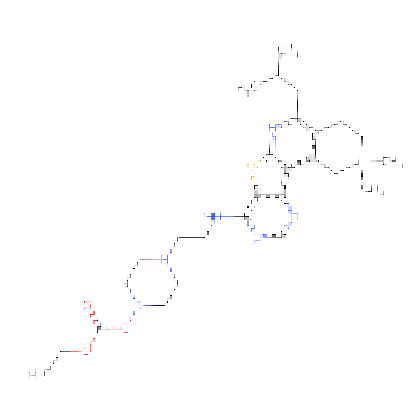 CCOC(=O)ON1CCN(CCNc2ncnc3c2sc2nc(CC(C)C)c4c(c23)CC(C)(C)CC4)CC1